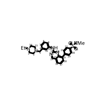 CCN1CCN(Cc2cccc(Nc3ncc4cccc(-c5ccc(S(=O)(=O)NC)cc5)c4n3)c2)CC1